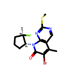 CSc1ncc2c(C)c(Br)c(=O)n([C@@H]3CCC[C@@]3(C)F)c2n1